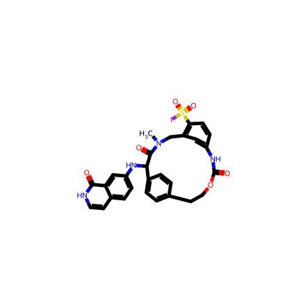 CN1Cc2cc(ccc2S(=O)(=O)I)NC(=O)OCCc2ccc(cc2)C(Nc2ccc3cc[nH]c(=O)c3c2)C1=O